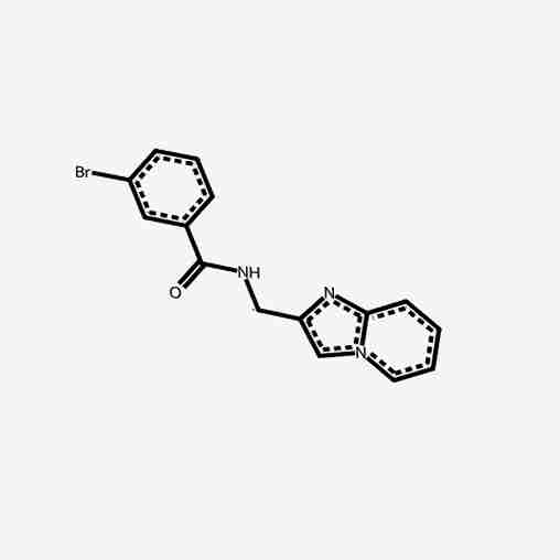 O=C(N[CH]c1cn2ccccc2n1)c1cccc(Br)c1